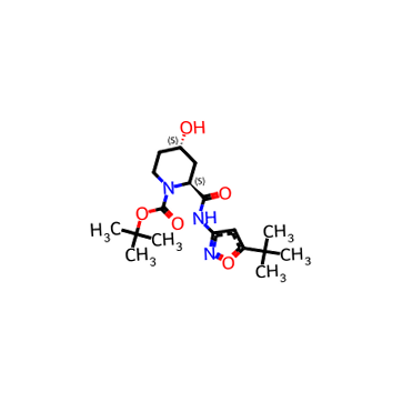 CC(C)(C)OC(=O)N1CC[C@H](O)C[C@H]1C(=O)Nc1cc(C(C)(C)C)on1